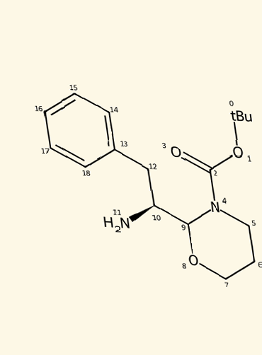 CC(C)(C)OC(=O)N1CCCOC1[C@@H](N)Cc1ccccc1